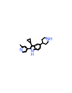 Cc1cc(-c2[nH]c3ccc(C4CCNCC4)cc3c2C2CC2)ccn1